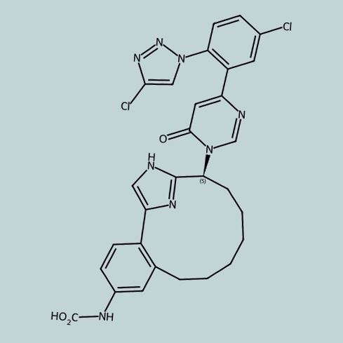 O=C(O)Nc1ccc2c(c1)CCCCCC[C@H](n1cnc(-c3cc(Cl)ccc3-n3cc(Cl)nn3)cc1=O)c1nc-2c[nH]1